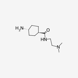 CN(C)CCNC(=O)[C@H]1CC[C@H](N)CC1